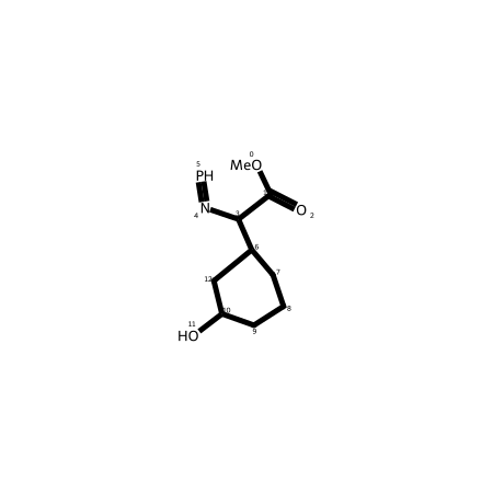 COC(=O)C(N=P)C1CCCC(O)C1